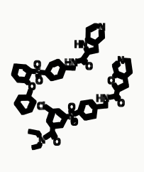 CCN(CC)C(=O)c1cc(Cl)cc(S(=O)(=O)c2ccc(CNC(=O)c3cc4ccncc4o3)cc2)c1.O=C(NCc1ccc(S(=O)(=O)c2ccccc2Oc2ccccc2)cc1)c1cc2cnccc2[nH]1